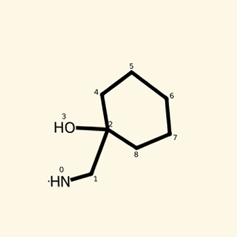 [NH]CC1(O)CCCCC1